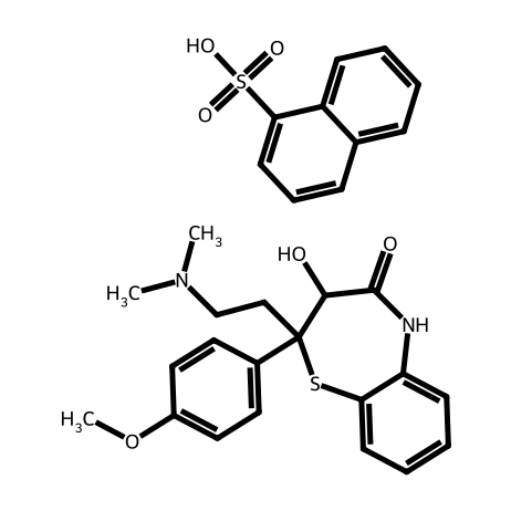 COc1ccc(C2(CCN(C)C)Sc3ccccc3NC(=O)C2O)cc1.O=S(=O)(O)c1cccc2ccccc12